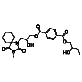 CCC(O)COC(=O)c1ccc(C(=O)OCC(O)CN2C(=O)N(C)C(=O)C23CCCCC3)cc1